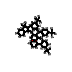 Cc1cc2c3c(c1)-n1c4c(c5cc(C(C)(C)C)cc(c51)B3c1ccc(C(C)(C)C)cc1N2c1ccc(C(C)(C)C)cc1-c1ccccc1)C(C)(C)c1ccccc1-4